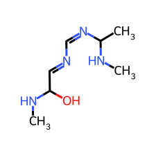 CNC(O)/C=N/C=N\C(C)NC